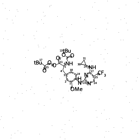 COc1cc(CC(NC(=O)OC(C)(C)C)C(=O)OOC(=O)C(C)(C)C)ccc1Nc1ncc(C(F)(F)F)c(NC2CC2)n1